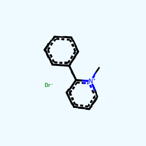 C[n+]1ccccc1-c1ccccc1.[Br-]